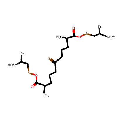 CCCCCCCCC(CC)CSOC(=O)C(C)CCCC(=S)CCCC(C)C(=O)OSCC(CC)CCCCCCCC